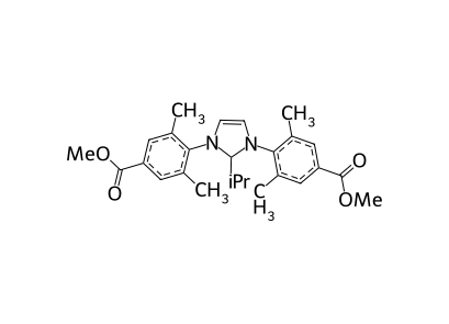 COC(=O)c1cc(C)c(N2C=CN(c3c(C)cc(C(=O)OC)cc3C)C2C(C)C)c(C)c1